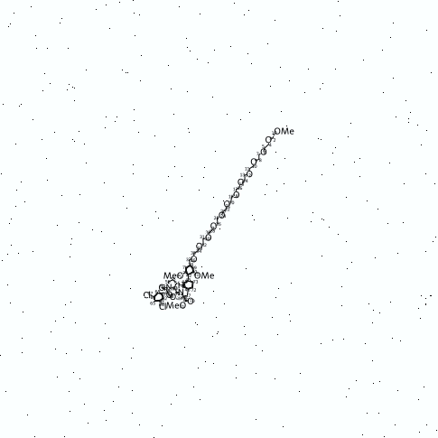 COCCOCCOCCOCCOCCOCCOCCOCCOCCOCCOCCOCCOCc1cc(OC)c(-c2ccc(C[C@](C)(NC(=O)[C@@H]3CCCN3S(=O)(=O)c3cc(Cl)cc(Cl)c3)C(=O)OC)cc2)c(OC)c1